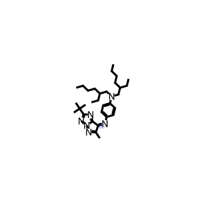 CCCCC(CC)CN(CC(CC)CCCC)c1ccc(/N=C2/C(C)=Nn3nc(C(C)(C)C)nc32)cc1